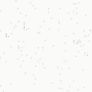 O=C(C(CCl)c1c[nH]c2ncccc12)C(CCl)c1c[nH]c2ncccc12